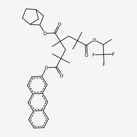 CC(OC(=O)C(C)(C)CC(C)(CC(C)(C)C(=O)Oc1ccc2cc3ccccc3cc2c1)C(=O)OC1CC2CCC1C2)C(F)(F)F